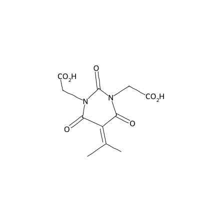 CC(C)=C1C(=O)N(CC(=O)O)C(=O)N(CC(=O)O)C1=O